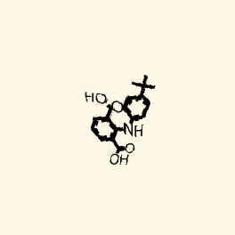 CC(C)(C)c1ccc(Nc2c(C(=O)O)cccc2C(=O)O)cc1